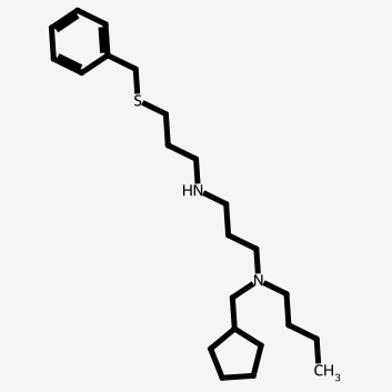 CCCCN(CCCNCCCSCc1ccccc1)CC1CCCC1